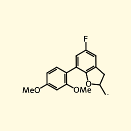 [CH2]C1Cc2cc(F)cc(-c3ccc(OC)cc3OC)c2O1